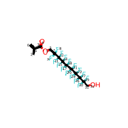 C=C(C)C(=O)OCC(F)(F)C(F)(F)C(F)(F)C(F)(F)C(F)(F)C(F)(F)C(F)(F)C(F)(F)CO